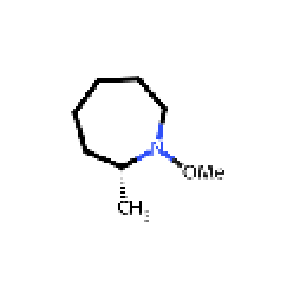 CON1CCCCC[C@H]1C